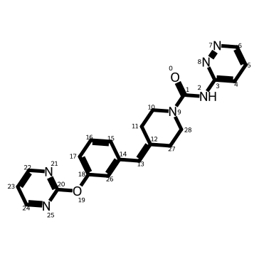 O=C(Nc1cccnn1)N1CCC(=Cc2cccc(Oc3ncccn3)c2)CC1